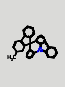 CC1C=CC2=C(C1)C1(c3ccccc32)c2ccccc2-n2c3ccccc3c3cccc1c32